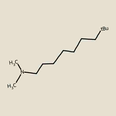 CN(C)CCCCCCCC(C)(C)C